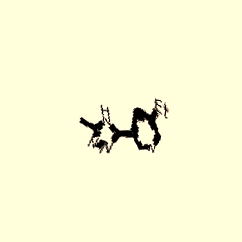 CCc1cncc(-c2nnc(C)[nH]2)c1